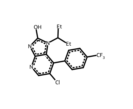 CCC(CC)n1c(O)nc2ncc(Cl)c(-c3ccc(C(F)(F)F)cc3)c21